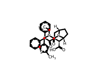 CCN(Cc1csc(C)c1)C(=O)N1[C@H]2CC[C@@H]1[C@@H](C(=O)O)N(C(=O)N(c1ccccc1)c1ccccc1)C2